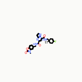 CCC1(CNC(=O)c2cc(C(=O)NCc3ccc4oc(=O)n(C)c4c3)nc3ccnn23)CC=C(F)CC1